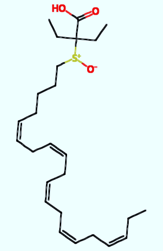 CC/C=C\C/C=C\C/C=C\C/C=C\C/C=C\CCCC[S+]([O-])C(CC)(CC)C(=O)O